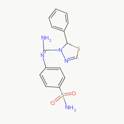 NC(=Nc1ccc(S(N)(=O)=O)cc1)N1N=[C]SC1c1ccccc1